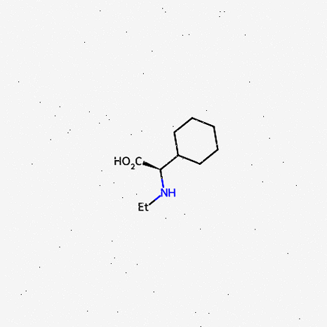 CCN[C@@H](C(=O)O)C1CCCCC1